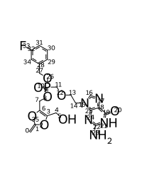 C=C1OC(CO)=C(COP(=O)(COCCn2cnc3c(=O)[nH]c(N)nc32)OCc2cccc(F)c2)O1